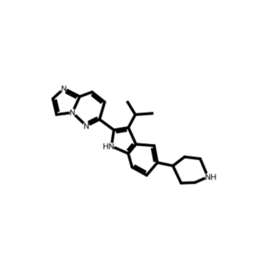 CC(C)c1c(-c2ccc3nccn3n2)[nH]c2ccc(C3CCNCC3)cc12